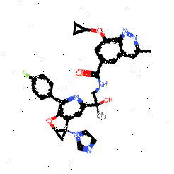 Cc1cc2cc(C(=O)NC[C@](O)(c3cc4c(c(-c5ccc(F)cc5)n3)OC3C[C@@]43n3ccnc3)C(F)(F)F)cc(OC3CC3)c2nn1